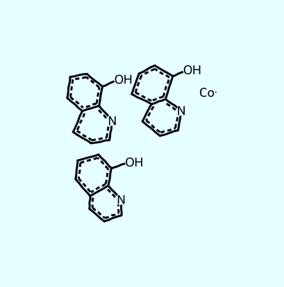 Oc1cccc2cccnc12.Oc1cccc2cccnc12.Oc1cccc2cccnc12.[Co]